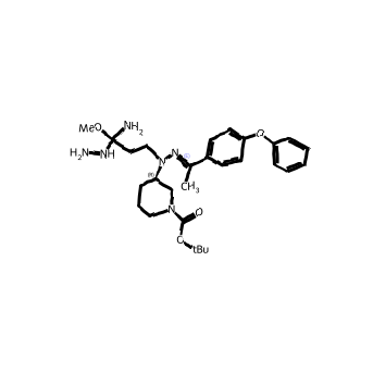 COC(N)(CCN(/N=C(\C)c1ccc(Oc2ccccc2)cc1)[C@@H]1CCCN(C(=O)OC(C)(C)C)C1)NN